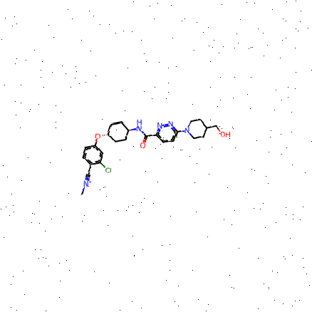 C[N+]#Cc1ccc(O[C@H]2CC[C@H](NC(=O)c3ccc(N4CCC(CO)CC4)nn3)CC2)cc1Cl